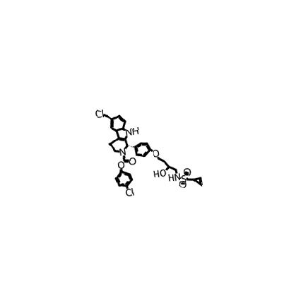 O=C(Oc1ccc(Cl)cc1)N1CCC2=C(NC3C=CC(Cl)=CC23)[C@@H]1c1ccc(OCCC(O)CNS(=O)(=O)C2CC2)cc1